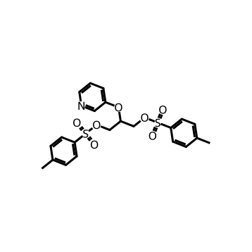 Cc1ccc(S(=O)(=O)OCC(COS(=O)(=O)c2ccc(C)cc2)Oc2cccnc2)cc1